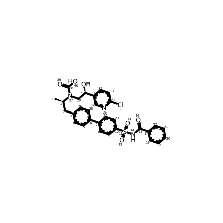 C[C@H](Cc1ccc(-c2ccc(S(=O)(=O)NC(=O)c3ccccc3)cc2)cc1)N(C[C@@H](O)c1ccc(Cl)nc1)C(=O)O